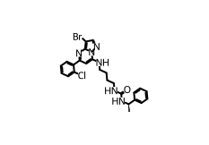 C[C@@H](NC(=O)NCCCCNc1cc(-c2ccccc2Cl)nc2c(Br)cnn12)c1ccccc1